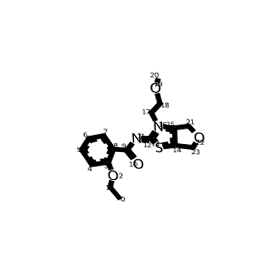 CCOc1ccccc1C(=O)/N=c1\sc2c(n1CCOC)COC2